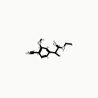 CCOC(=O)C(C)c1ccc(C#N)c(OC)c1